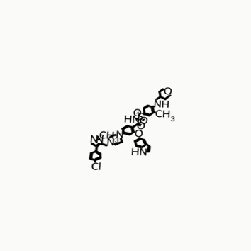 Cc1cc(S(=O)(=O)NC(=O)c2ccc(N3CCN(Cc4c(-c5ccc(Cl)cc5)cnn4C)CC3)cc2Oc2ccc3[nH]ccc3c2)ccc1NCC1CCOCC1